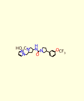 O=C(NC1CC(Cn2cccn2)N(C(=O)O)C1)N1CCC(c2cccc(OC(F)(F)F)c2)C1